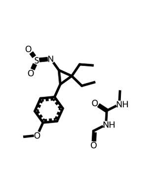 CCC1(CC)C(N=S(=O)=O)C1c1ccc(OC)cc1.CNC(=O)NC=O